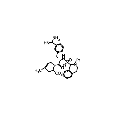 CC1=CCN(C(=O)[C@H](Cc2cccc(C(=N)N)c2)NS(=O)(=O)C2c3ccccc3CCN2C(C)C)C(C(=O)O)C1